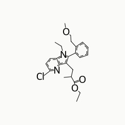 CCOC(=O)C(C)Cc1c(-c2ccccc2CCOC)n(CC)c2ccc(Cl)nc12